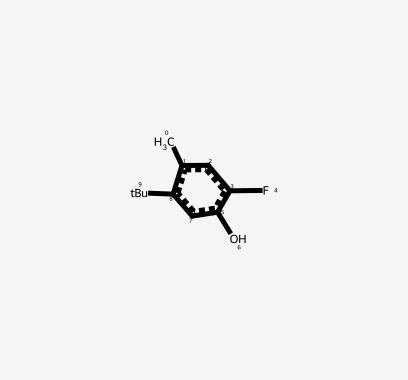 Cc1cc(F)c(O)cc1C(C)(C)C